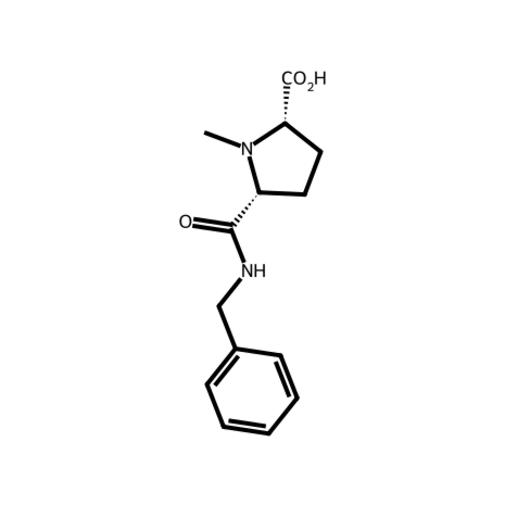 CN1[C@@H](C(=O)NCc2ccccc2)CC[C@H]1C(=O)O